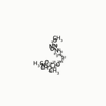 COCc1noc(N2CCC(C3CC3CCOc3ccc(CC(=O)N(C)C)c(C)c3)CC2)n1